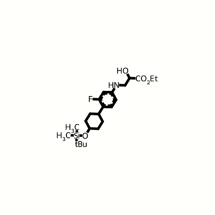 CCOC(=O)C(O)CNc1ccc(C2CCC(O[Si](C)(C)C(C)(C)C)CC2)c(F)c1